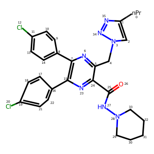 CCCc1cn(Cc2nc(-c3ccc(Cl)cc3)c(-c3ccc(Cl)cc3)nc2C(=O)NN2CCCCC2)nn1